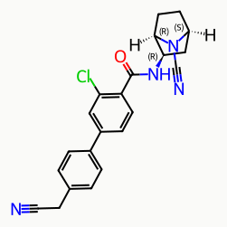 N#CCc1ccc(-c2ccc(C(=O)N[C@@H]3C[C@@H]4CC[C@H]3N4C#N)c(Cl)c2)cc1